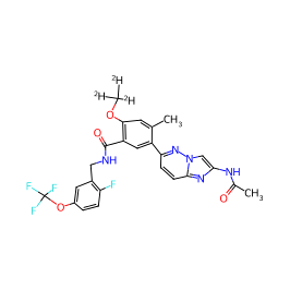 [2H]C([2H])([2H])Oc1cc(C)c(-c2ccc3nc(NC(C)=O)cn3n2)cc1C(=O)NCc1cc(OC(F)(F)F)ccc1F